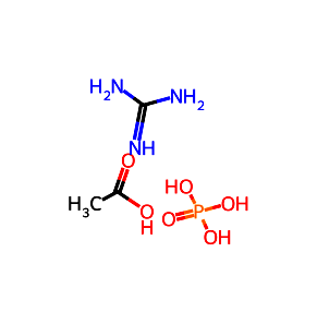 CC(=O)O.N=C(N)N.O=P(O)(O)O